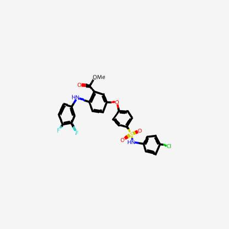 COC(=O)c1cc(Oc2ccc(S(=O)(=O)Nc3ccc(Cl)cc3)cc2)ccc1Nc1ccc(F)c(F)c1